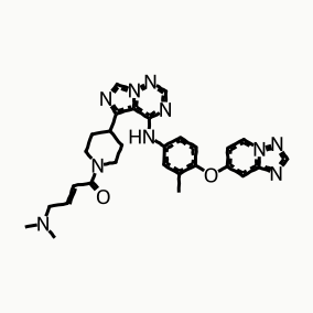 Cc1cc(Nc2ncnn3cnc(C4CCN(C(=O)/C=C/CN(C)C)CC4)c23)ccc1Oc1ccn2ncnc2c1